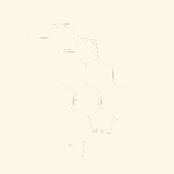 O=C(O)N(Cc1cn2ccc(C(F)(F)F)cc2n1)c1cc(Cl)nc2c(C3CC3)cnn12